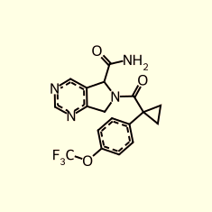 NC(=O)C1c2cncnc2CN1C(=O)C1(c2ccc(OC(F)(F)F)cc2)CC1